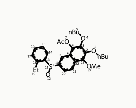 CCCCOc1c(OCCCC)c(OC(C)=O)c2cc([S+]([O-])c3ccccc3CC)ccc2c1OC